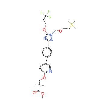 COC(=O)C(C)(C)COc1ccc(-c2ccc(-c3nc(OCCC(F)(F)F)n(COCCS(C)(C)C)n3)cc2)cn1